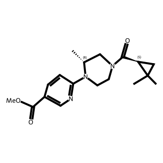 COC(=O)c1ccc(N2CCN(C(=O)[C@H]3CC3(C)C)C[C@H]2C)nc1